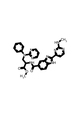 CNc1nccc(-c2nc3cc(C(=O)NC(CN(c4ccccc4)c4ncccn4)C(=O)OC)ccc3[nH]2)n1